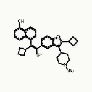 CCCCN1CCC(c2c(C3CCC3)oc3ccc(C(CCC)=C(c4cccc5c(C#N)cccc45)C4CCC4)cc23)CC1